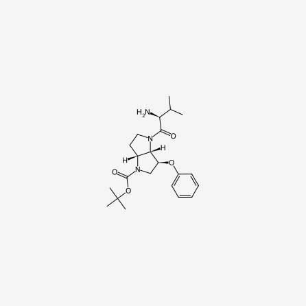 CC(C)[C@H](N)C(=O)N1CC[C@@H]2[C@H]1[C@@H](Oc1ccccc1)CN2C(=O)OC(C)(C)C